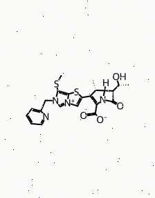 CSc1c2sc(C3=C(C(=O)[O-])N4C(=O)[C@H]([C@@H](C)O)[C@H]4[C@H]3C)c[n+]2cn1Cc1ccccn1